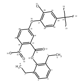 CCc1cccc(CC)c1OC(=O)c1cc(Oc2ccc(C(F)(F)F)cc2Cl)ccc1[N+](=O)[O-]